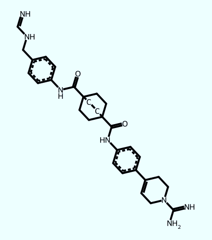 N=CNCc1ccc(NC(=O)C23CCC(C(=O)Nc4ccc(C5=CCN(C(=N)N)CC5)cc4)(CC2)CC3)cc1